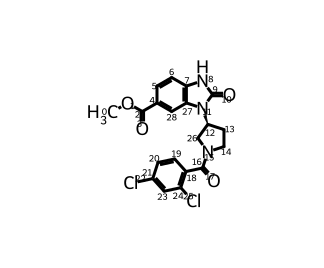 COC(=O)c1ccc2[nH]c(=O)n([C@H]3CCN(C(=O)c4ccc(Cl)cc4Cl)C3)c2c1